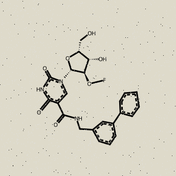 O=C(NCc1cccc(-c2ccccc2)c1)c1cn([C@@H]2O[C@H](CO)[C@H](O)[C@H]2OF)c(=O)[nH]c1=O